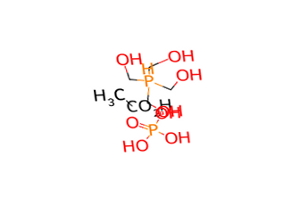 CC(=O)O.O=P(O)(O)O.OC[PH](CO)(CO)CO